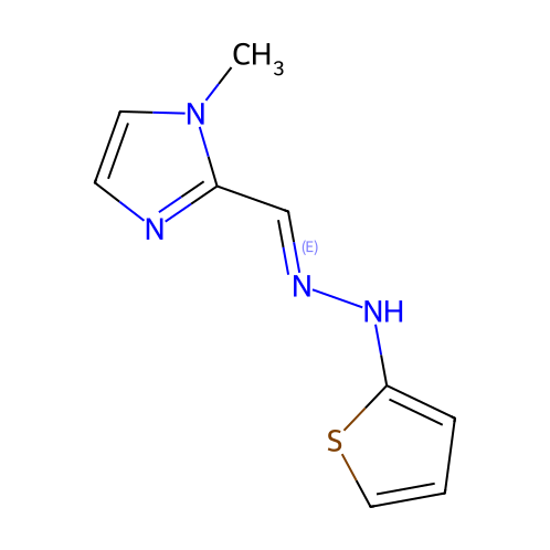 Cn1ccnc1/C=N/Nc1cccs1